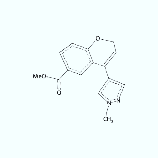 COC(=O)c1ccc2c(c1)C(c1cnn(C)c1)=CCO2